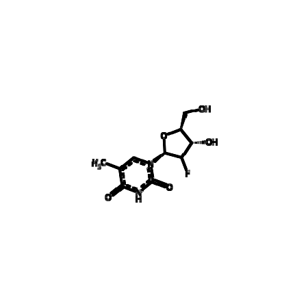 Cc1cn([C@H]2O[C@@H](CO)[C@H](O)C2F)c(=O)[nH]c1=O